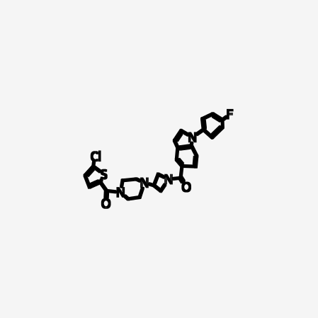 O=C(c1ccc2c(ccn2-c2ccc(F)cc2)c1)N1CC(N2CCN(C(=O)c3ccc(Cl)s3)CC2)C1